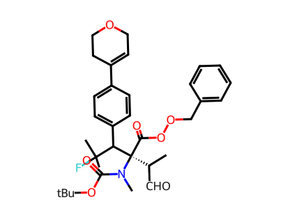 CC(C=O)[C@@](C(=O)OOCc1ccccc1)(C(c1ccc(C2=CCOCC2)cc1)C(C)(C)F)N(C)C(=O)OC(C)(C)C